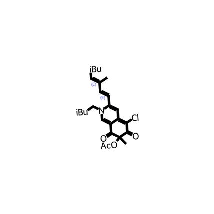 CCC(C)/C=C(C)/C=C/C1=CC2=C(Cl)C(=O)C(C)(OC(C)=O)C(=O)C2=CN1CC(C)CC